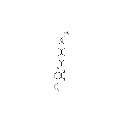 CCCc1ccc(OCC2CCC(C3CC[SiH](CCC)CC3)CC2)c(F)c1F